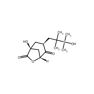 CC(C)(C[C@@H]1C[C@]2(O)C[C@@H](OC2=O)C1=O)[Si](C)(C)O